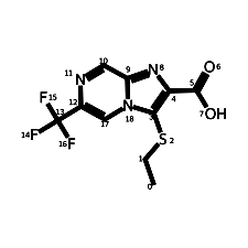 CCSc1c(C(=O)O)nc2cnc(C(F)(F)F)cn12